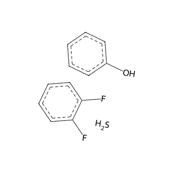 Fc1ccccc1F.Oc1ccccc1.S